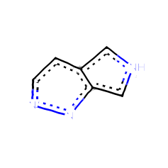 [c]1cc2c[nH]cc2nn1